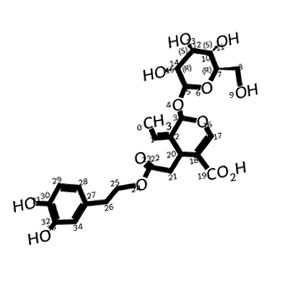 CC=C1C(OC2O[C@H](CO)[C@@H](O)[C@H](O)[C@H]2O)OC=C(C(=O)O)C1CC(=O)OCCc1ccc(O)c(O)c1